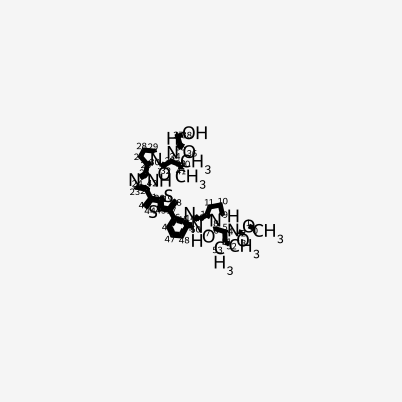 COC(=O)N[C@H](C(=O)N1CCCC1c1nc2c(-c3csc4c(-c5cnc(C6CCCN6C(=O)[C@@H](NC(=O)CO)C(C)C)[nH]5)csc34)cccc2[nH]1)C(C)C